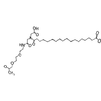 CC(=O)COCCOCCNC(=O)CN(CC(=O)O)C(=O)CCCCCCCCCCCCCCCCC(=O)O